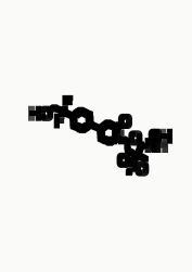 CC(CCn1ccc(-c2ccc(C(F)(F)CO)cc2)cc1=O)(C(=O)NO)S(C)(=O)=O